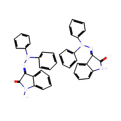 CN1C(=O)C(=NN(c2ccccc2)c2ccccc2)c2ccccc21.O=C1Nc2ccccc2C1=NN(c1ccccc1)c1ccccc1